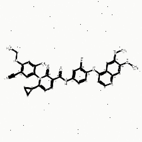 CCOc1cc(C)c(-n2c(C3CC3)ccc(C(=O)Nc3ccc(Oc4ccnc5cc(OC)c(OC)cc45)c(F)c3)c2=O)cc1C#N